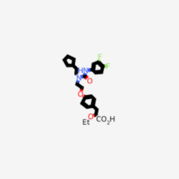 CCOC(Cc1ccc(OCCN(CCC2CCCC2)C(=O)Nc2ccc(F)c(F)c2)cc1)C(=O)O